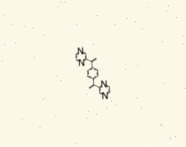 C=C(c1ccc(C(=C)c2cnccn2)cc1)c1cnccn1